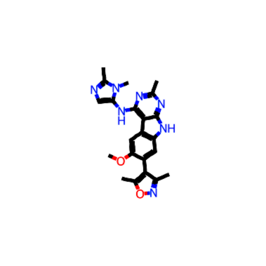 COc1cc2c(cc1-c1c(C)noc1C)[nH]c1nc(C)nc(Nc3cnc(C)n3C)c12